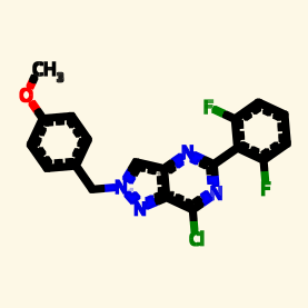 COc1ccc(Cn2cc3nc(-c4c(F)cccc4F)nc(Cl)c3n2)cc1